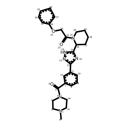 CN1CCN(C(=O)c2cccc(-c3n[nH]c(C4CCCCN4C(=O)COc4ccccc4)n3)c2)CC1